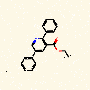 CCOC(=O)c1cc(-c2ccccc2)cnc1-c1ccccc1